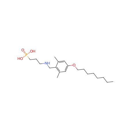 CCCCCCCCOc1cc(C)c(CNCCCP(=O)(O)O)c(C)c1